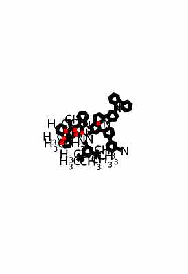 CC(C)(C)c1cc(-c2nc(-c3cc(C(C)(C)C)cc(C(C)(C)C)c3)nc(-c3cc(-c4cc(-c5cccc(C#N)c5)ccc4-n4c5ccccc5c5cc(-n6c7ccccc7c7ccccc76)ccc54)ccc3-n3c4ccccc4c4cc(-n5c6ccccc6c6ccccc65)ccc43)n2)cc(C(C)(C)C)c1